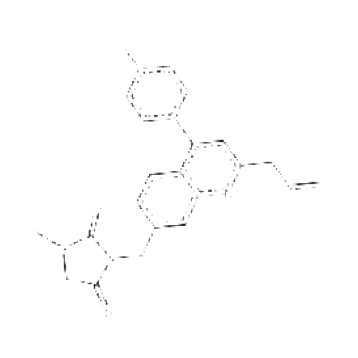 C=NCc1cc(-c2ccc(F)cc2)c2ccc(CN3C(=O)CN(C)C3=O)cc2n1